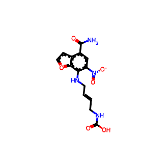 NC(=O)c1cc([N+](=O)[O-])c(NCC=CCNC(=O)O)c2occc12